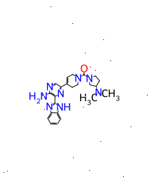 CN(C)C1CCN(C(=O)N2CC=C(c3cnc(N)c(-c4nc5ccccc5[nH]4)n3)CC2)C1